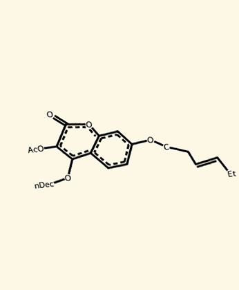 CCC=CCCOc1ccc2c(OCCCCCCCCCC)c(OC(C)=O)c(=O)oc2c1